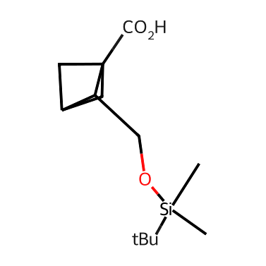 CC(C)(C)[Si](C)(C)OCC1C2CC1(C(=O)O)C2